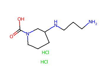 Cl.Cl.NCCCNC1CCCN(C(=O)O)C1